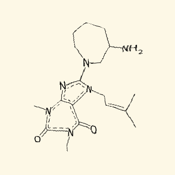 CC(C)=CCn1c(N2CCCCC(N)C2)nc2c1c(=O)n(C)c(=O)n2C